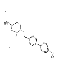 CCCC1CCC(CCc2ccc(-c3ccc(OCC)cc3)cc2)C(C)C1